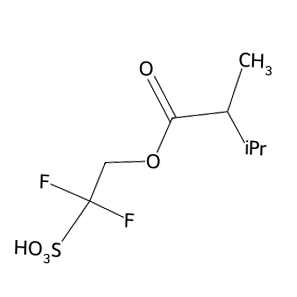 CC(C)C(C)C(=O)OCC(F)(F)S(=O)(=O)O